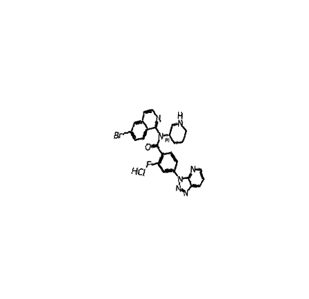 Cl.O=C(c1ccc(-n2nnc3cccnc32)cc1F)N(c1nccc2cc(Br)ccc12)[C@@H]1CCCNC1